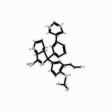 NC1=NC(c2cccc(-c3cncnc3)c2)(c2ccc(OC(F)F)c(CCF)c2)c2cccnc21